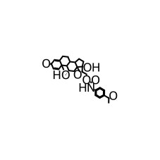 CC(=O)c1ccc(NC(=O)OCC(=O)[C@@]2(O)CCC3C4CCC5=CC(=O)C=CC5(C)C4[C@@H](O)CC32C)cc1